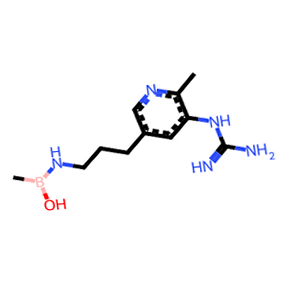 CB(O)NCCCc1cnc(C)c(NC(=N)N)c1